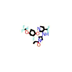 C=C(F)C(=O)N1CC(Nc2c(C(F)F)ccnc2Oc2ccc(OC(F)(F)F)cc2)C1